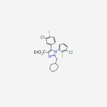 CCOC(=O)c1nc(CC2CCCCC2)n(-c2cccc(Cl)c2F)c1-c1ccc(F)c(Cl)c1